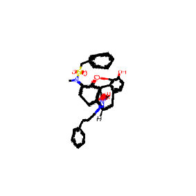 CN(C1CC[C@@]2(O)[C@H]3Cc4ccc(O)c5c4[C@@]2(CCN3CCc2ccccc2)C1O5)S(=O)(=O)Cc1ccccc1